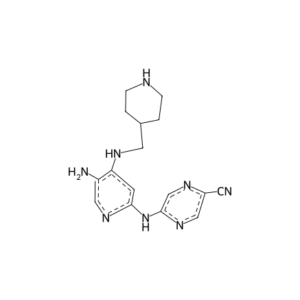 N#Cc1cnc(Nc2cc(NCC3CCNCC3)c(N)cn2)cn1